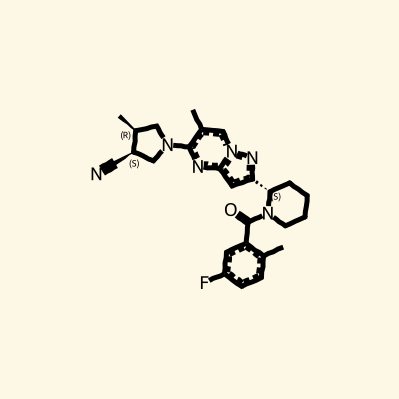 Cc1ccc(F)cc1C(=O)N1CCCC[C@H]1c1cc2nc(N3C[C@@H](C#N)[C@@H](C)C3)c(C)cn2n1